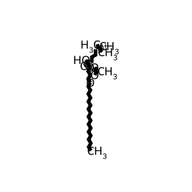 CCCCCCCCCCCCCCCCCCOCC(COP(=O)(O)CCCC[N+](C)(C)C)OC(C)=O